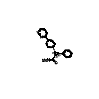 CNC(=O)[C@@H]1[C@H](c2ccccc2)[C@H]1c1ccc(-c2cccnn2)cc1